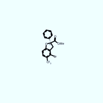 COC(=O)[C@@]1(c2ccccc2)Cc2c(ccc(C(F)(F)F)c2Br)O1